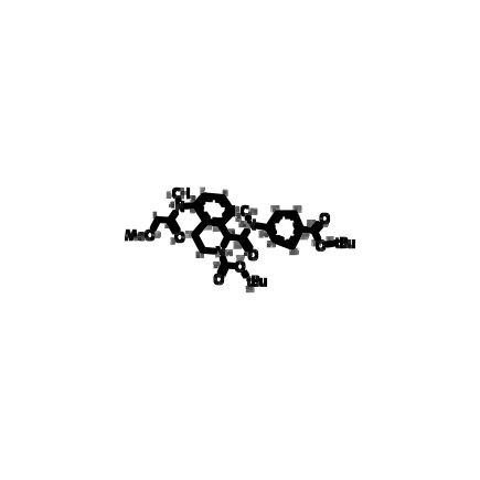 COCC(=O)N(C)c1cccc2c1CCN(C(=O)OC(C)(C)C)C2C(=O)N(C)c1ccc(C(=O)OC(C)(C)C)cc1